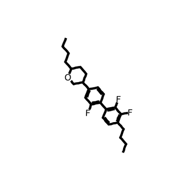 CCCCc1ccc(-c2ccc(C3CCC(CCCC)OC3)cc2F)c(F)c1F